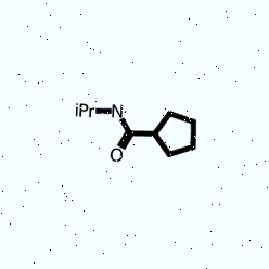 CC(C)[N]C(=O)C1CCCC1